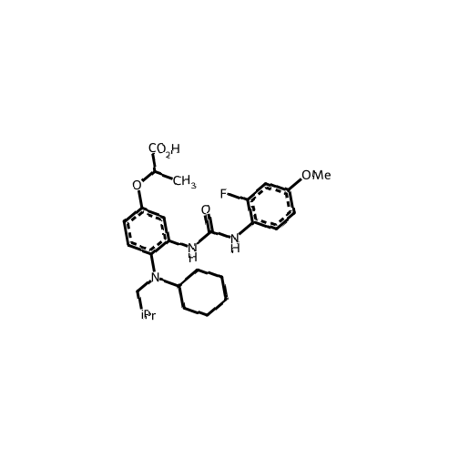 COc1ccc(NC(=O)Nc2cc(OC(C)C(=O)O)ccc2N(CC(C)C)C2CCCCC2)c(F)c1